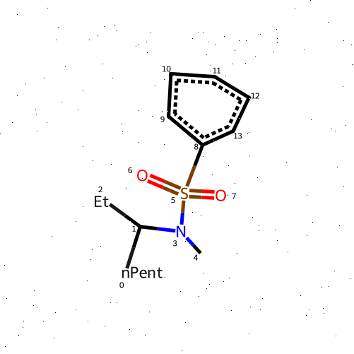 CCCCCC(CC)N(C)S(=O)(=O)c1ccccc1